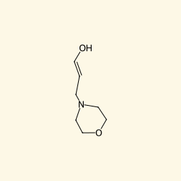 OC=CCN1CCOCC1